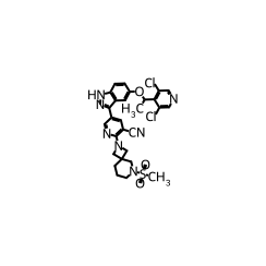 CC(Oc1ccc2[nH]nc(-c3cnc(N4CC5(CCCN(S(C)(=O)=O)C5)C4)c(C#N)c3)c2c1)c1c(Cl)cncc1Cl